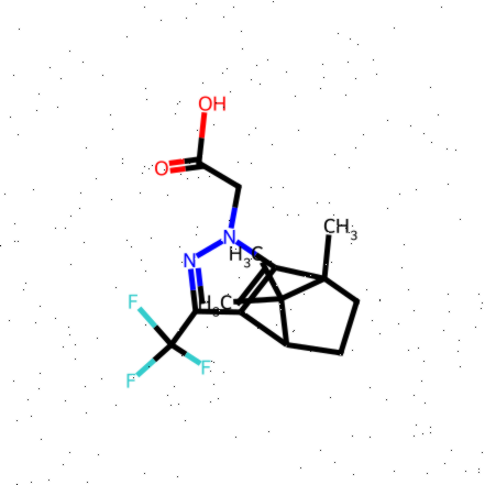 CC12CCC(c3c(C(F)(F)F)nn(CC(=O)O)c31)C2(C)C